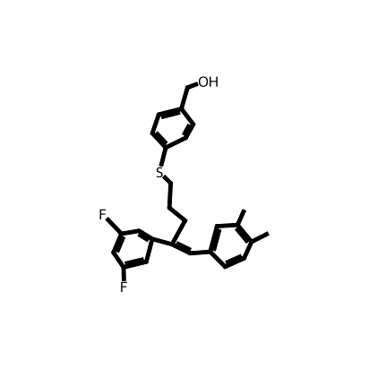 Cc1ccc(/C=C(\CCCSc2ccc(CO)cc2)c2cc(F)cc(F)c2)cc1C